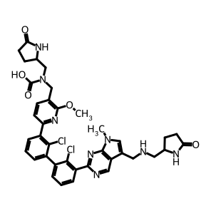 COc1nc(-c2cccc(-c3cccc(-c4ncc5c(CNCC6CCC(=O)N6)cn(C)c5n4)c3Cl)c2Cl)ccc1CN(CC1CCC(=O)N1)C(=O)O